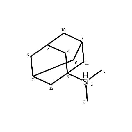 C[SiH](C)C12CC3CC(CC(C3)C1)C2